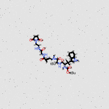 C/C(=C\CN(C)C(=O)C(NC(=O)[C@@H](N(C)C(=O)OC(C)(C)C)C(C)(C)c1cn(C)c2ccccc12)C(C)(C)C)C(=O)NCC(=O)NCCN1C(=O)C=CC1=O